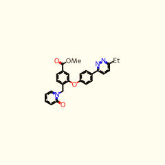 CCc1ccc(-c2ccc(Oc3cc(C(=O)OC)ccc3Cn3ccccc3=O)cc2)nn1